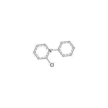 Clc1cccc[n+]1-c1ccccc1